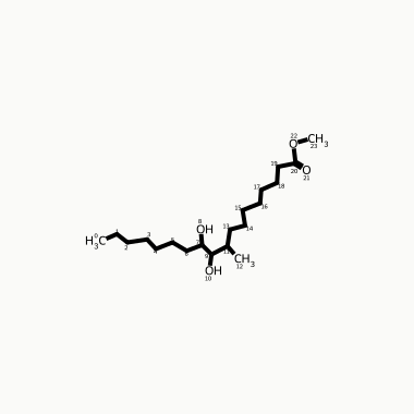 CCCCCCCC(O)C(O)C(C)CCCCCCCC(=O)OC